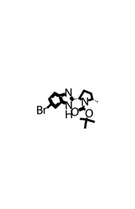 C[C@H]1CC[C@@H](c2nc3ccc(Br)cc3[nH]2)N1C(=O)OC(C)(C)C